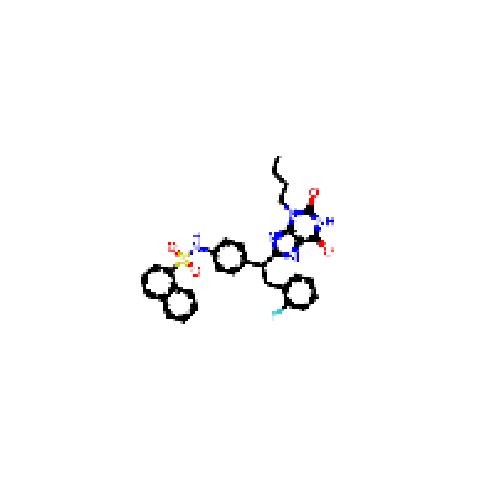 CCCCn1c(=O)[nH]c(=O)c2[nH]c(C(Cc3ccccc3F)c3ccc(NS(=O)(=O)c4cccc5ccccc45)cc3)nc21